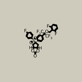 O=C1O[C@H]2C[C@](c3ccc(C(OCc4c(F)cccc4F)(C(F)(F)F)C(F)(F)F)cc3)(S(=O)(=O)c3ccc(F)cc3)C[C@H]2O1